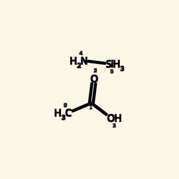 CC(=O)O.N[SiH3]